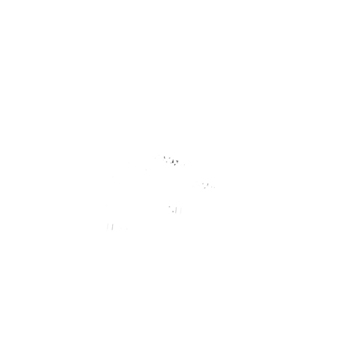 COC(=O)C1=C(C(OC)OC)NC(C)=C(C(=O)O)C1c1cccs1